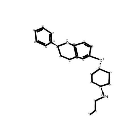 CCCN[C@H]1CC[C@H](Oc2ccc3c(c2)CC[C@@H](c2ccccc2)O3)CC1